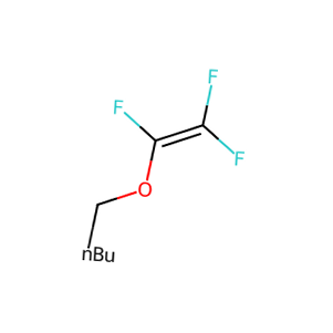 CCCCCOC(F)=C(F)F